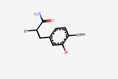 CCC(Cc1ccc(OC)c(Br)c1)C(N)=O